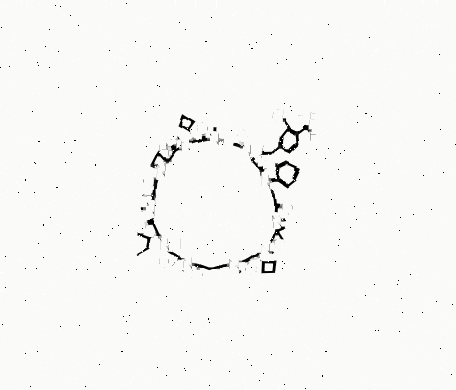 CCC(C)[C@@H]1NC(=O)[C@H](C)N(C)C(=O)C[C@@H](C)N(C)C(=O)[C@H](C2CCC2)N(C)C(=O)C(C)(C)N(C)C(=O)CN(c2ccccc2)C(=O)[C@H](CCc2ccc(C(F)(F)F)c(Cl)c2)NC(=O)CN(C)C(=O)[C@H](C2CCC2)N(C)C(=O)[C@@H]2CCN2C(=O)[C@H](C)N(C)C1=O